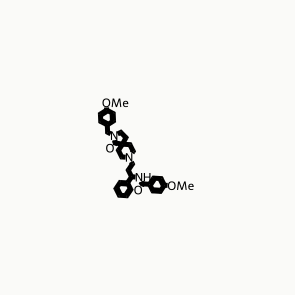 COc1ccc(CN2CCC3(CCN(CCC(NC(=O)c4ccc(OC)cc4)c4ccccc4)CC3)C2=O)cc1